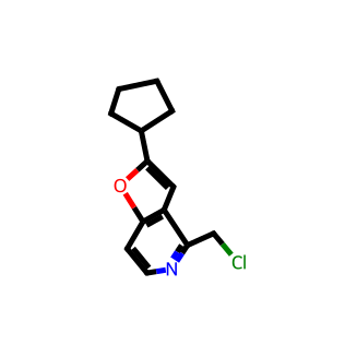 ClCc1nccc2oc(C3CCCC3)cc12